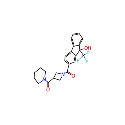 O=C(c1ccc2c(c1)C(O)(C(F)(F)F)c1ccccc1-2)N1CC(C(=O)N2CCCCC2)C1